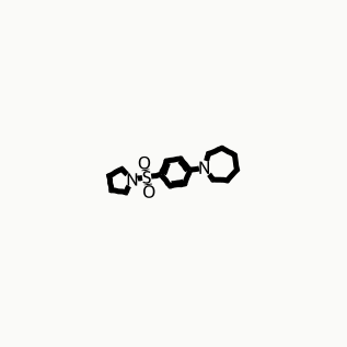 O=S(=O)(c1ccc(N2CCCCCC2)cc1)N1CCCC1